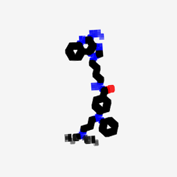 CN(C)CCCN(c1ccccc1)c1ccc(C(=O)NCCCCn2cnc3c(N)nc4ccccc4c32)cc1